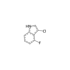 Fc1[c]ccc2[nH]cc(Cl)c12